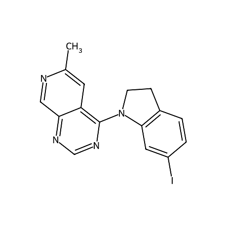 Cc1cc2c(N3CCc4ccc(I)cc43)ncnc2cn1